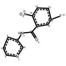 O=C(Nc1cccnc1)c1cc(F)ccc1[N+](=O)[O-]